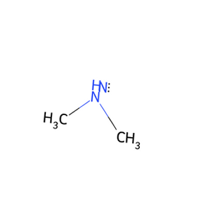 CNC.[N]